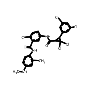 CNc1ccc(NC(=O)c2cc(NC(=O)C3C(c4cc(Cl)cc(Cl)c4)C3(Cl)Cl)ccc2Cl)c(C)c1